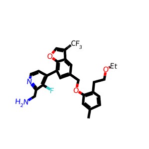 CCOCCc1ccc(C)cc1OCc1cc(-c2ccnc(CN)c2F)c2occ(C(F)(F)F)c2c1